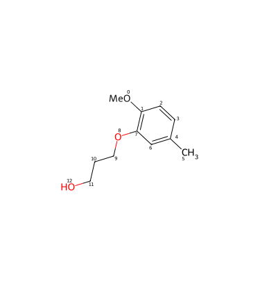 COc1ccc(C)cc1OCCCO